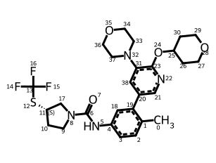 Cc1ccc(NC(=O)N2CC[C@H](SC(F)(F)F)C2)cc1-c1cnc(OC2CCOCC2)c(N2CCOCC2)c1